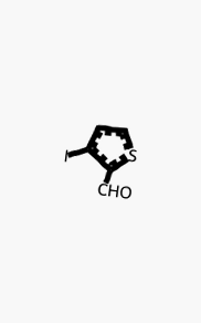 O=Cc1sccc1I